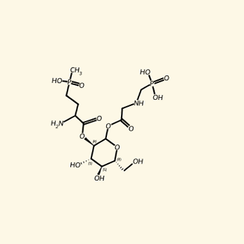 CP(=O)(O)CCC(N)C(=O)O[C@H]1C(OC(=O)CNCP(=O)(O)O)O[C@H](CO)[C@@H](O)[C@@H]1O